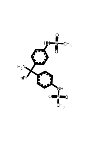 C[CH]CC(N)(c1ccc(NS(C)(=O)=O)cc1)c1ccc(NS(C)(=O)=O)cc1